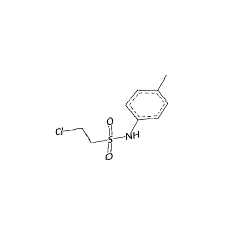 Cc1ccc(NS(=O)(=O)CCCl)cc1